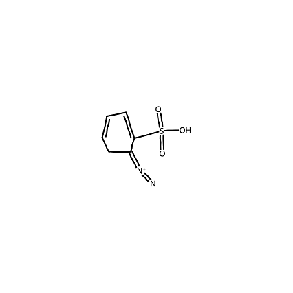 [N-]=[N+]=C1CC=CC=C1S(=O)(=O)O